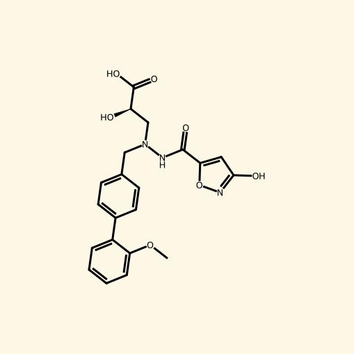 COc1ccccc1-c1ccc(CN(C[C@@H](O)C(=O)O)NC(=O)c2cc(O)no2)cc1